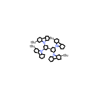 CC(C)(C)c1ccc2c3ccccc3n(-c3cc(-c4cc(-n5c6ccccc6c6ccc(C(C)(C)C)cc65)cc(-n5c6ccccc6c6ccc(C(C)(C)C)cc65)c4)cc(-n4c5ccccc5c5ccc(C(C)(C)C)cc54)c3)c2c1